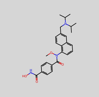 CON(C(=O)c1ccc(C(=O)NO)cc1)c1cccc2cc(CN(C(C)C)C(C)C)ccc12